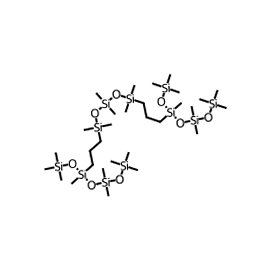 C[Si](C)(C)O[Si](C)(C)O[Si](C)(CCC[Si](C)(C)O[Si](C)(C)O[Si](C)(C)CCC[Si](C)(O[Si](C)(C)C)O[Si](C)(C)O[Si](C)(C)C)O[Si](C)(C)C